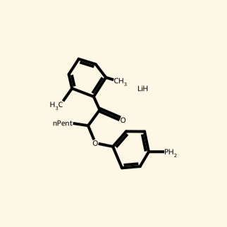 CCCCCC(Oc1ccc(P)cc1)C(=O)c1c(C)cccc1C.[LiH]